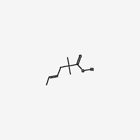 CC=CCC(C)(C)C(=O)OCC